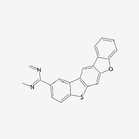 C=N/C(=N\C)c1ccc2sc3cc4oc5ccccc5c4cc3c2c1